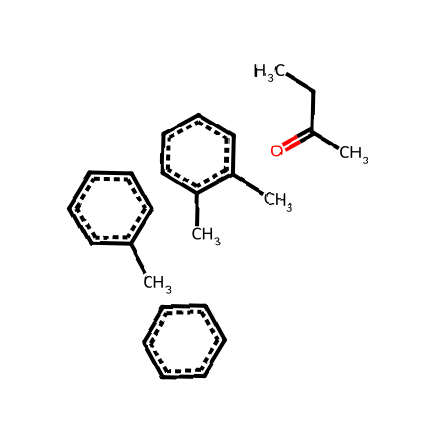 CCC(C)=O.Cc1ccccc1.Cc1ccccc1C.c1ccccc1